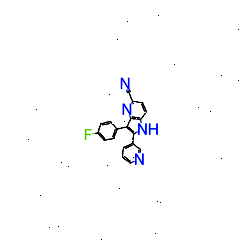 N#Cc1ccc2[nH]c(-c3cccnc3)c(-c3ccc(F)cc3)c2n1